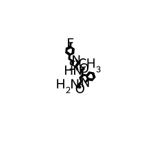 Cc1nc(Cc2ccc(F)cc2)sc1NC(=O)c1cc(C(N)=O)nc2ccccc12